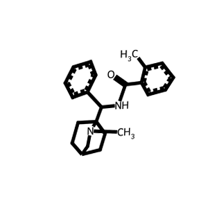 Cc1ccccc1C(=O)NC(c1ccccc1)C12CCC(CC1)CN2C